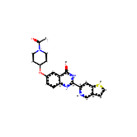 CCC(=O)N1CCC(Oc2ccc3nc(-c4cc5sccc5cn4)[nH]c(=O)c3c2)CC1